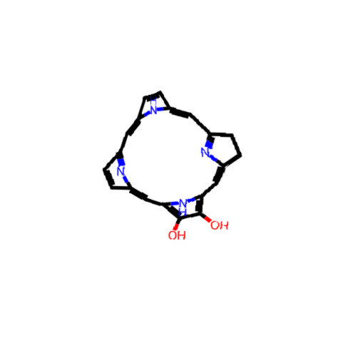 Oc1c(O)c2cc3nc(cc4ccc(cc5nc(cc1[nH]2)C=C5)[nH]4)CC3